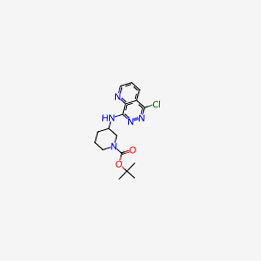 CC(C)(C)OC(=O)N1CCCC(Nc2nnc(Cl)c3cccnc23)C1